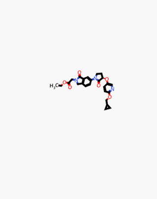 CCOC(=O)CN1Cc2ccc(N3CC[C@@H](Oc4ccc(OCC5CC5)nc4)C3=O)cc2C1=O